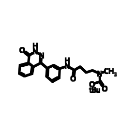 CN(CCCC(=O)Nc1cccc(-c2n[nH]c(=O)c3ccccc23)c1)C(=O)OC(C)(C)C